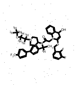 [2H]C([2H])([2H])OC([2H])([2H])C([2H])([2H])N1CCC(N(C(=O)CN2C(SCc3cccc(F)c3F)=CC(O)c3ccccc32)C([2H])(C)c2ccc(-c3ccc(C(F)(F)F)cc3)cc2)CC1